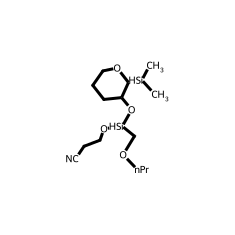 CCCOC[SiH](OCCC#N)OC1CCCOC1[SiH](C)C